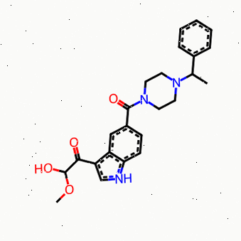 COC(O)C(=O)c1c[nH]c2ccc(C(=O)N3CCN(C(C)c4ccccc4)CC3)cc12